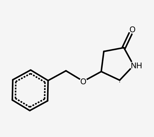 O=C1CC(OCc2ccccc2)[CH]N1